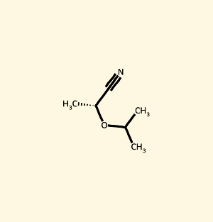 CC(C)O[C@H](C)C#N